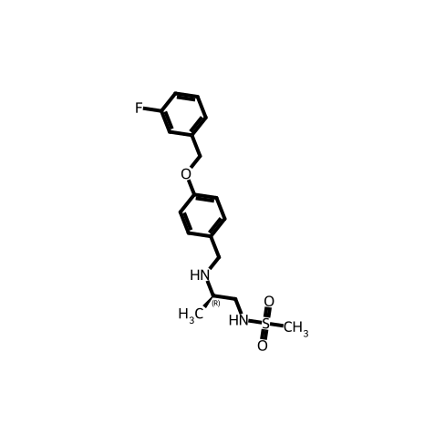 C[C@H](CNS(C)(=O)=O)NCc1ccc(OCc2cccc(F)c2)cc1